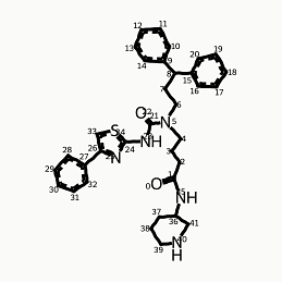 O=C(CCCN(CCC(c1ccccc1)c1ccccc1)C(=O)Nc1nc(-c2ccccc2)cs1)NC1CCCNC1